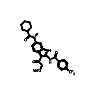 COCC(=O)c1c(NC(=O)c2ccc(C(F)(F)F)cc2)[nH]c2cc(N(C)C(=O)C3CCCCC3)ccc12